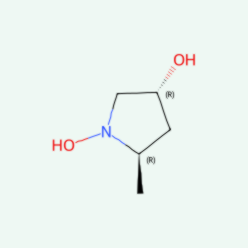 C[C@@H]1C[C@@H](O)CN1O